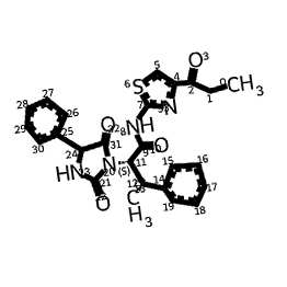 CCC(=O)c1csc(NC(=O)[C@H]([C@@H](C)c2ccccc2)N2C(=O)NC(c3ccccc3)C2=O)n1